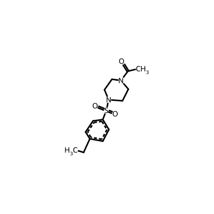 CCc1ccc(S(=O)(=O)N2CCN(C(C)=O)CC2)cc1